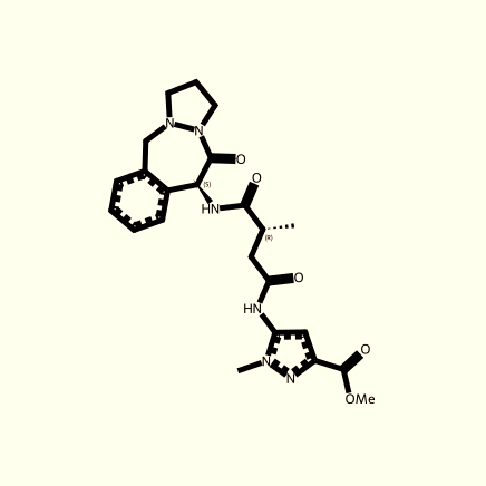 COC(=O)c1cc(NC(=O)C[C@@H](C)C(=O)N[C@@H]2C(=O)N3CCCN3Cc3ccccc32)n(C)n1